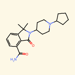 CC1(C)c2cccc(C(N)=O)c2C(=O)N1C1CCN(C2CCCC2)CC1